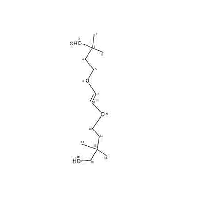 CC(C)(C=O)CCO/C=C/OCCC(C)(C)CO